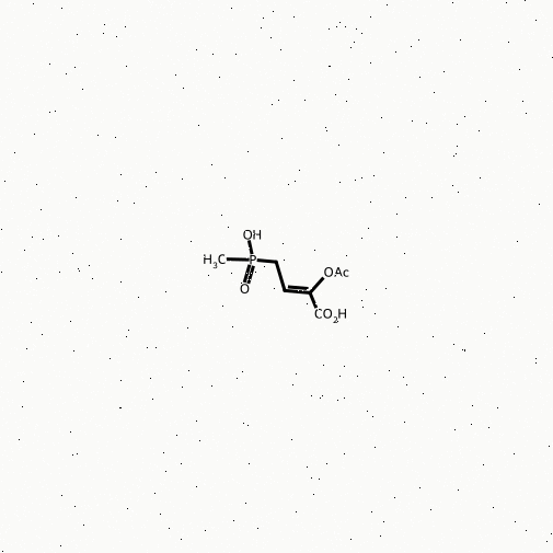 CC(=O)O/C(=C\CP(C)(=O)O)C(=O)O